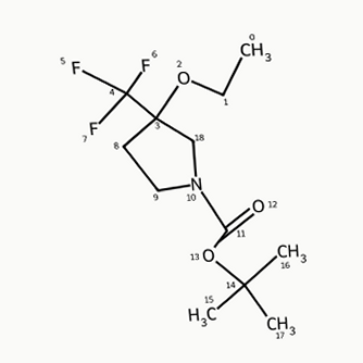 CCOC1(C(F)(F)F)CCN(C(=O)OC(C)(C)C)C1